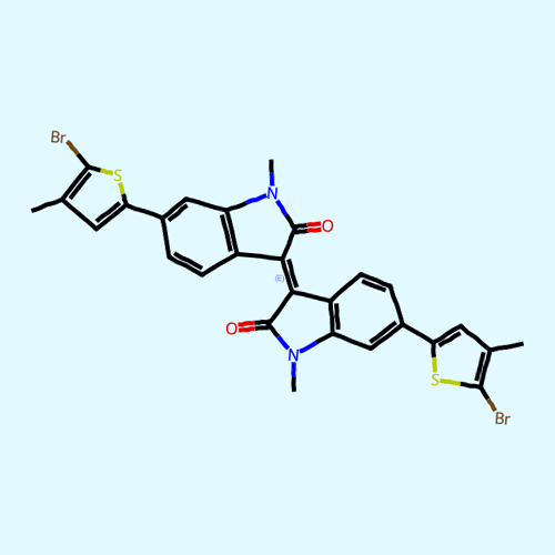 Cc1cc(-c2ccc3c(c2)N(C)C(=O)/C3=C2/C(=O)N(C)c3cc(-c4cc(C)c(Br)s4)ccc32)sc1Br